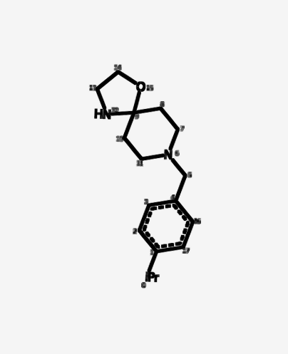 CC(C)c1ccc(CN2CCC3(CC2)NCCO3)cc1